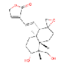 C[C@]1(CO)[C@H]2CCC3(CO3)[C@@H](/C=C/C3=CCOC3=O)[C@]2(C)CC[C@H]1O